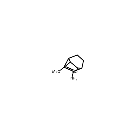 COC1C2C=C(N)C(CC2)C1O